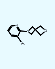 CC(=O)c1cccnc1N1CC2(COC2)C1